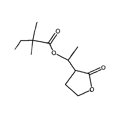 CCC(C)(C)C(=O)OC(C)C1CCOC1=O